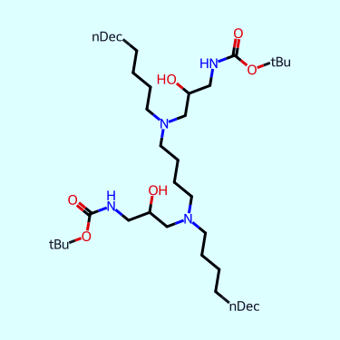 CCCCCCCCCCCCCCN(CCCCN(CCCCCCCCCCCCCC)CC(O)CNC(=O)OC(C)(C)C)CC(O)CNC(=O)OC(C)(C)C